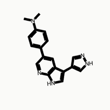 CN(C)c1ccc(-c2cnc3[nH]cc(-c4cn[nH]c4)c3c2)cc1